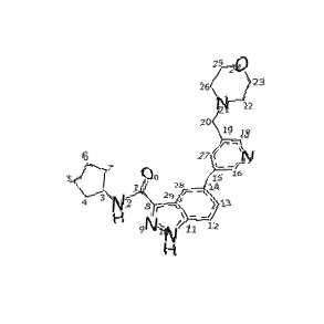 O=C(NC1CCCC1)c1n[nH]c2ccc(-c3cncc(CN4CCOCC4)c3)cc12